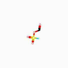 O=COS(=O)(=O)F